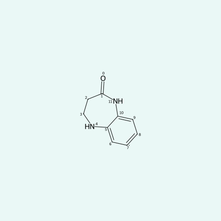 O=C1CCNc2c[c]ccc2N1